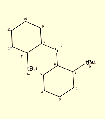 CC(C)(C)C1CCCCC1SC1CCCCC1C(C)(C)C